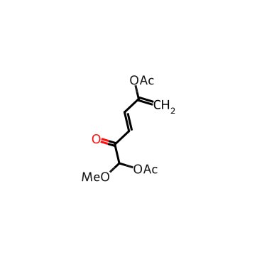 C=C(C=CC(=O)C(OC)OC(C)=O)OC(C)=O